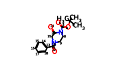 CC(C)(C)OC(=O)N1CCN(C(=O)c2ccccc2)CC1=O